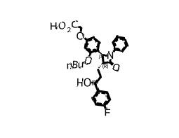 CCCCOc1cc(OCC(=O)O)ccc1[C@@H]1[C@@H](CC[C@H](O)c2ccc(F)cc2)C(=O)N1c1ccccc1